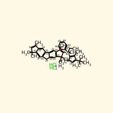 Cl.Cl.[CH2]=[Zr]([CH2]C)([C]1=C(C)C(C(C)(C)C)=CC1C)([C]1=C(C)c2cc3c(cc2C1(C)C)Cc1cc2c(cc1-3)C(C)=CC2(C)C)[c]1ccccc1